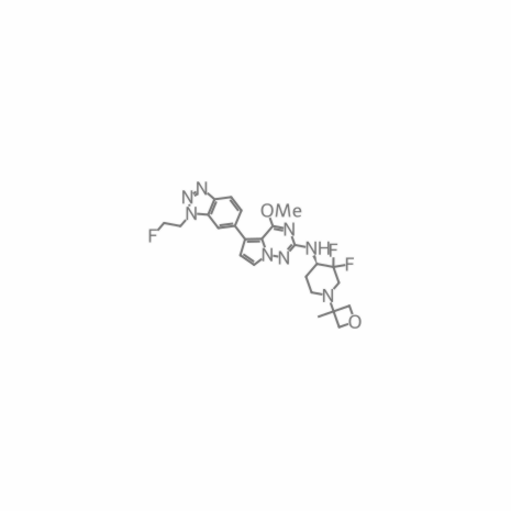 COc1nc(N[C@@H]2CCN(C3(C)COC3)CC2(F)F)nn2ccc(-c3ccc4nnn(CCF)c4c3)c12